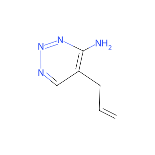 C=CCc1cnnnc1N